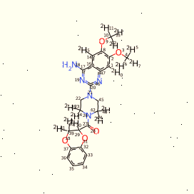 [2H]c1c(OC([2H])([2H])[2H])c(OC([2H])([2H])[2H])c([2H])c2c(N)nc(N3CC([2H])([2H])N(C(=O)C4([2H])Oc5ccccc5OC4([2H])[2H])C([2H])([2H])C3)nc12